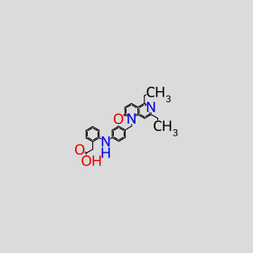 CCc1cc2c(ccc(=O)n2Cc2ccc(Nc3ccccc3CC(=O)O)cc2)c(CC)n1